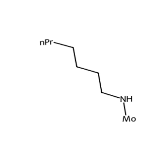 CCCCCCC[NH][Mo]